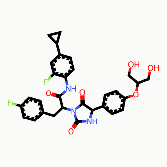 O=C(Nc1ccc(C2CC2)cc1F)C(Cc1ccc(F)cc1)N1C(=O)NC(c2ccc(OC(CO)CO)cc2)C1=O